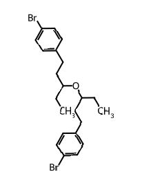 CCC(CCc1ccc(Br)cc1)OC(CC)CCc1ccc(Br)cc1